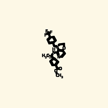 COC(=O)c1ccc([C@H](C)Nc2nccc3c2N(Cc2ccc(C(F)(F)F)cc2)CCO3)cc1